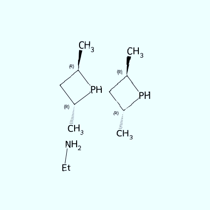 CCN.C[C@@H]1C[C@@H](C)P1.C[C@@H]1C[C@@H](C)P1